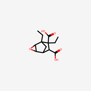 CCC12CC(C3OC31)C(C(=O)O)C2(CC)C(=O)O